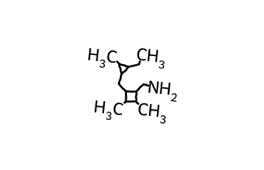 CCC1C(C)C1CC1C(C)C(C)C1CN